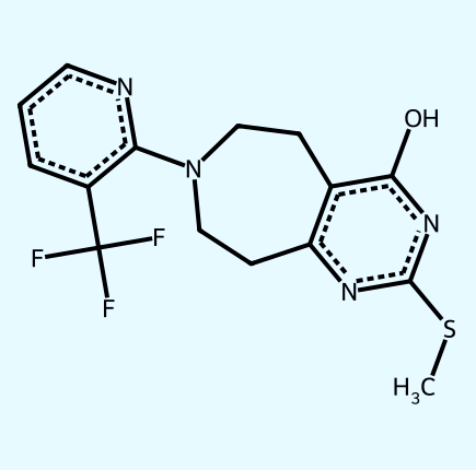 CSc1nc(O)c2c(n1)CCN(c1ncccc1C(F)(F)F)CC2